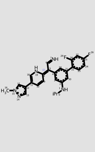 CC(C)Nc1cc(/C(C=N)=C2\C=CC(c3cnn(C)c3)=CN2)cc(-c2ccc(F)cc2F)c1